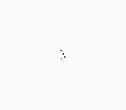 [C].[Cr].[Pt].[Ti]